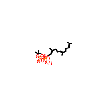 CC(C)=CCCC(C)=CCCC(C)=CCOP(=O)(O)OP(=O)(O)OC(C)(C)C